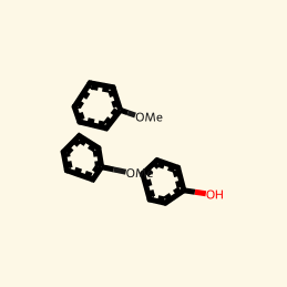 COc1ccccc1.COc1ccccc1.Oc1ccccc1